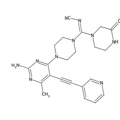 Cc1nc(N)nc(N2CCN(/C(=N\C#N)N3CCNC(=O)C3)CC2)c1C#Cc1cccnc1